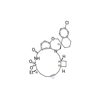 CC[C@@H]1CC/C=C\C[C@@H]2CC[C@H]2CN2C[C@@]3(CCCc4cc(Cl)ccc43)COc3ccc(cc32)C(=O)NS1(=O)=O